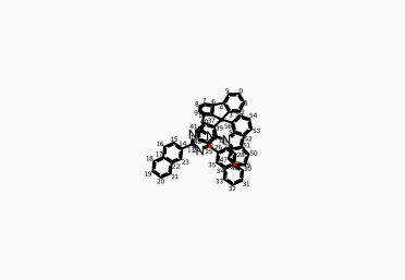 c1ccc2c(c1)-c1cccc(-c3nc(-c4ccc5ccccc5c4)nc(-c4ccc5ccccc5c4)n3)c1C21c2ccccc2-n2c3ccccc3c3cccc1c32